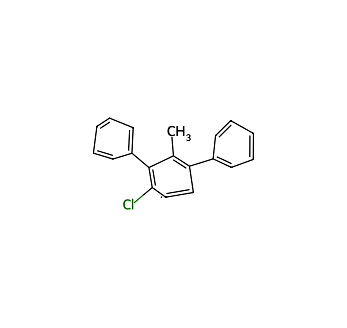 Cc1c(-c2ccccc2)c[c]c(Cl)c1-c1ccccc1